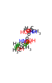 CCC(C)(C)NC(=O)c1ccc(-c2ccc(C(=O)Nc3cc(C)c(-c4cc(C(O)(C(F)(F)F)C(F)(F)F)c(C)cc4C)cc3C(O)(C(F)(F)F)C(F)(F)F)c(C(=O)O)c2)cc1C(=O)O